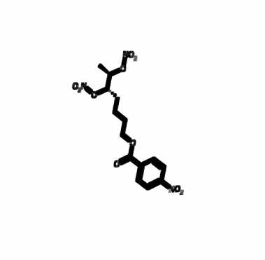 C[C@@H](O[N+](=O)[O-])[C@H](CCCCOC(=O)c1ccc([N+](=O)[O-])cc1)O[N+](=O)[O-]